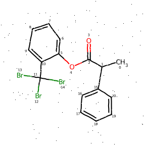 CC(C(=O)Oc1ccccc1C(Br)(Br)Br)c1ccccc1